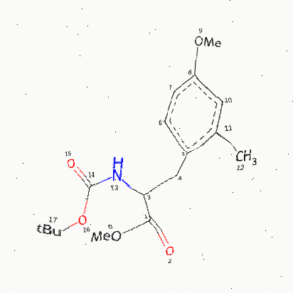 COC(=O)C(Cc1ccc(OC)cc1C)NC(=O)OC(C)(C)C